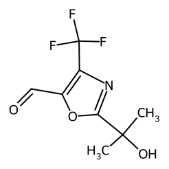 CC(C)(O)c1nc(C(F)(F)F)c(C=O)o1